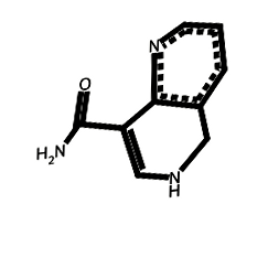 NC(=O)C1=CNCc2cccnc21